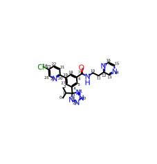 CC(C)C1(c2cc(C(=O)NCCc3cnccn3)cc(-c3ccc(Cl)cn3)c2)N=NN=N1